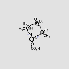 CCc1c2[nH]c(c1C)/C=N/c1ccc(OCC(=O)O)cc1/N=C/c1[nH]c(c(CC)c1C)Cc1[nH]c(c(CC)c1CC)C2